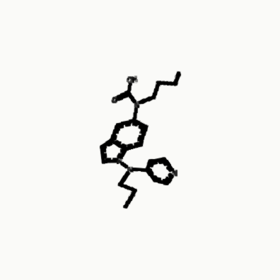 CCCCN(C(=O)O)c1ccc2c(ccn2N(CCC)c2ccncc2)c1